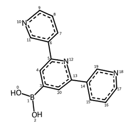 OB(O)c1cc(-c2cccnc2)nc(-c2cccnc2)c1